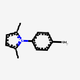 Bc1ccc(-n2c(C)ccc2C)cc1